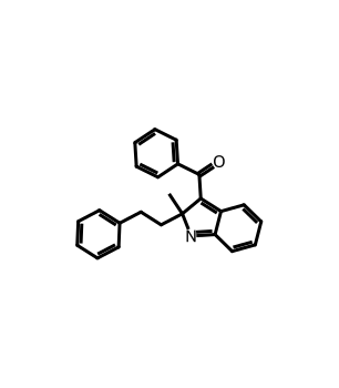 CC1(CCc2ccccc2)N=c2ccccc2=C1C(=O)c1ccccc1